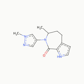 CC1CCc2cc[nH]c2C(=O)N1c1cnn(C)c1